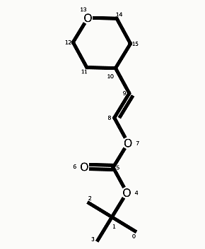 CC(C)(C)OC(=O)OC=CC1CCOCC1